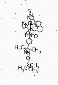 Cc1nn(COCC[Si](C)(C)C)c(C)c1-c1ccc(NC(=O)[C@@H](NC(=O)c2ccnn2C)[C@@H]2CCCc3ccc(-c4cnn(C5CC5)c4)cc32)cc1